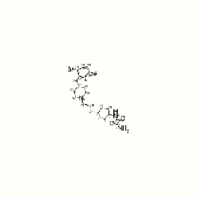 NS(=O)(=O)N[C@H]1CC[C@H](CCCN2CCC(Cc3cc(F)ccc3Br)CC2)CC1